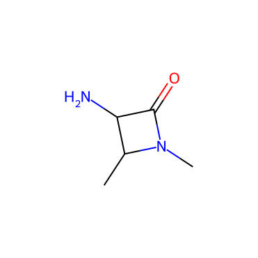 CC1C(N)C(=O)N1C